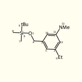 CCc1cc(CO[Si](C)(C)C(C)(C)C)cc(NC)c1